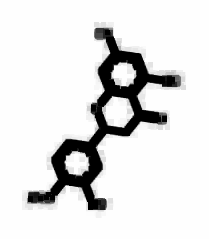 COc1ccc(C2CC(=O)c3c(N=O)cc(N=O)cc3O2)cc1N=O